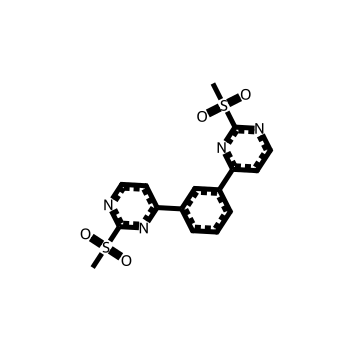 CS(=O)(=O)c1nccc(-c2cccc(-c3ccnc(S(C)(=O)=O)n3)c2)n1